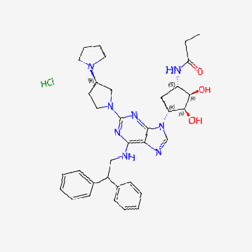 CCC(=O)N[C@H]1C[C@@H](n2cnc3c(NCC(c4ccccc4)c4ccccc4)nc(N4CC[C@@H](N5CCCC5)C4)nc32)[C@H](O)[C@@H]1O.Cl